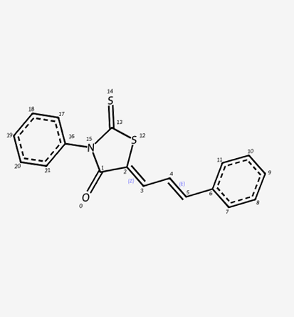 O=C1/C(=C/C=C/c2ccccc2)SC(=S)N1c1ccccc1